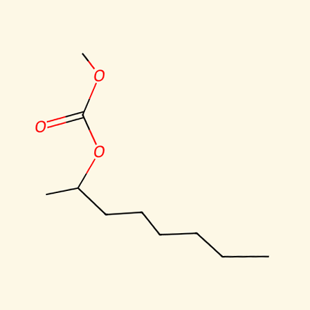 CCCCCCC(C)OC(=O)OC